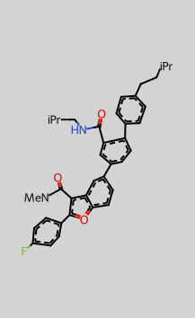 CNC(=O)c1c(-c2ccc(F)cc2)oc2ccc(-c3ccc(-c4ccc(CCC(C)C)cc4)c(C(=O)NCC(C)C)c3)cc12